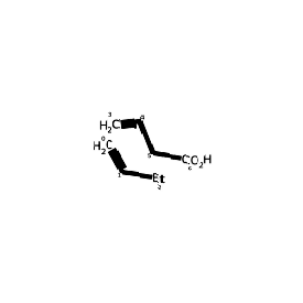 C=CCC.C=CCC(=O)O